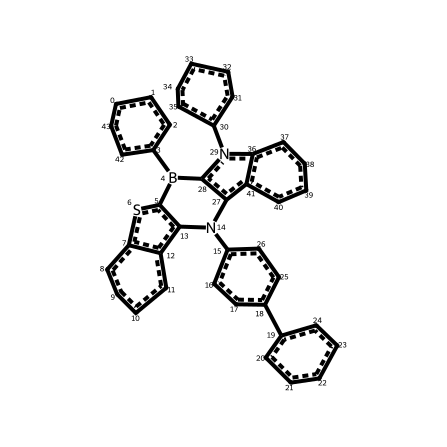 c1ccc(B2c3sc4ccccc4c3N(c3ccc(-c4ccccc4)cc3)c3c2n(-c2ccccc2)c2ccccc32)cc1